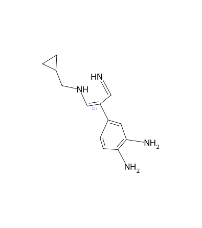 N=C/C(=C\NCC1CC1)c1ccc(N)c(N)c1